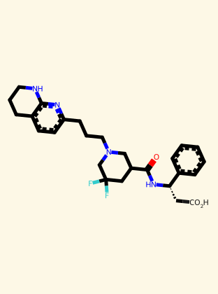 O=C(O)C[C@H](NC(=O)C1CN(CCCc2ccc3c(n2)NCCC3)CC(F)(F)C1)c1ccccc1